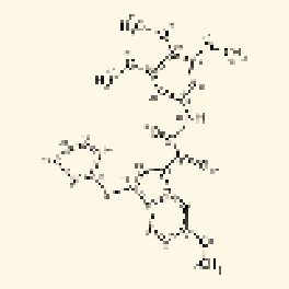 COc1ccc2c(c1)c(C(=O)C(=O)Nc1cc(OC)c(OC)c(OC)c1)cn2Cc1ccccc1